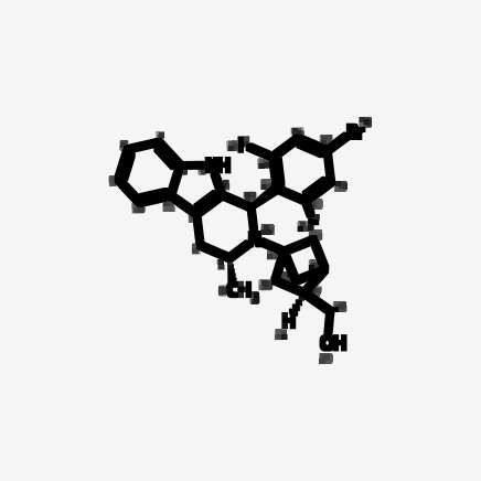 C[C@@H]1Cc2c([nH]c3ccccc23)[C@@H](c2c(F)cc(Br)cc2F)N1C12CC(C1)[C@@H](CO)C2